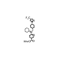 COC(=O)c1ccc(N(Cc2ccc(-n3cc(C(F)(F)F)cn3)cc2)C2CCCCC2)nc1